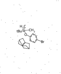 C1C2CC34CC1CC3(C2)C4.CC(C)(C)[Si](C)(C)Oc1ccc(Br)cc1